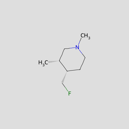 C[C@@H]1CN(C)CC[C@@H]1CF